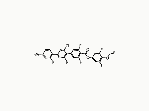 CCCc1ccc(-c2cc(F)c(-c3cc(F)c(C(=O)Oc4cc(F)c(OCF)c(F)c4)c(F)c3)c(Cl)c2)c(F)c1